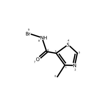 Cc1ncsc1C(=O)NBr